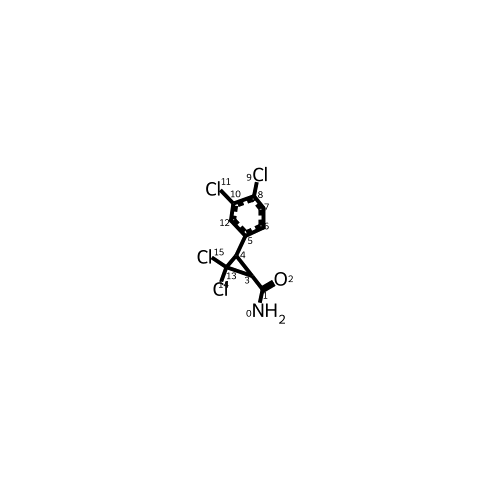 NC(=O)C1C(c2ccc(Cl)c(Cl)c2)C1(Cl)Cl